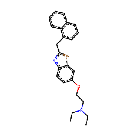 CCN(CC)CCOc1ccc2nc(Cc3cccc4ccccc34)sc2c1